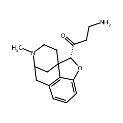 CN1CCC23CC1Cc1cccc(c12)O[C@H]3C(=O)CCN